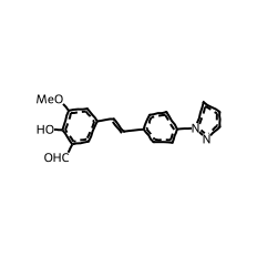 COc1cc(C=Cc2ccc(-n3cccn3)cc2)cc(C=O)c1O